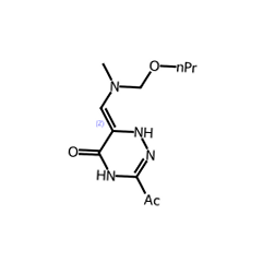 CCCOCN(C)/C=C1\NN=C(C(C)=O)NC1=O